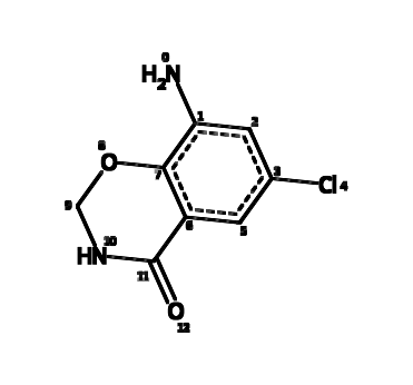 Nc1cc(Cl)cc2c1OCNC2=O